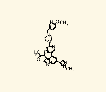 COc1ccc(CN2CCN(c3ccc(-c4cc(-c5cnn(C)c5)cn5ncc(C(=O)C(C)=O)c45)cn3)CC2)cn1